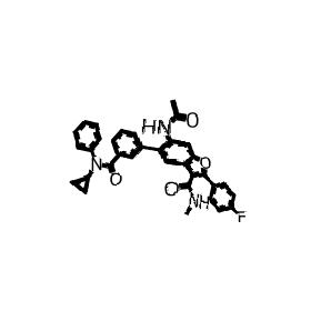 CNC(=O)c1c(-c2ccc(F)cc2)oc2cc(NC(C)=O)c(-c3cccc(C(=O)N(c4ccccc4)C4CC4)c3)cc12